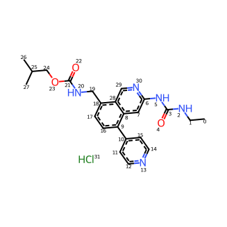 CCNC(=O)Nc1cc2c(-c3ccncc3)ccc(CNC(=O)OCC(C)C)c2cn1.Cl